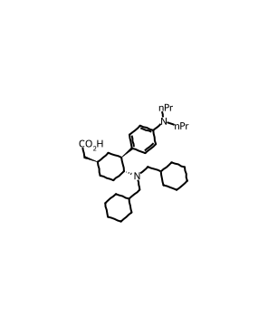 CCCN(CCC)c1ccc([C@@H]2C[C@H](CC(=O)O)CC[C@H]2N(CC2CCCCC2)CC2CCCCC2)cc1